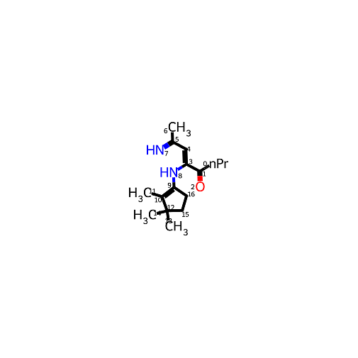 CCCC(=O)/C(=C/C(C)=N)NC1=C(C)C(C)(C)CC1